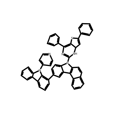 C1=C(c2ccccc2)SC2=C(c3ccccc3)N=C(n3c4ccc(-c5cccc6c7ccccc7n(-c7ccncc7)c56)cc4c4c5ccccc5ccc43)NC12